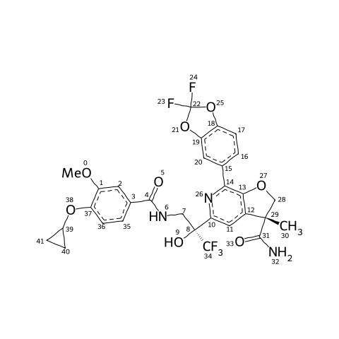 COc1cc(C(=O)NC[C@](O)(c2cc3c(c(-c4ccc5c(c4)OC(F)(F)O5)n2)OC[C@]3(C)C(N)=O)C(F)(F)F)ccc1OC1CC1